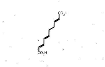 O=C(O)/C=C/C=C/CC/C=C/C(=O)O